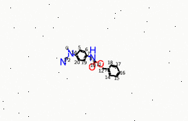 CN(C#N)c1ccc(NC(=O)OCc2ccccc2)cc1